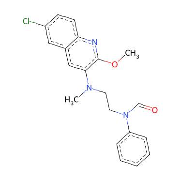 COc1nc2ccc(Cl)cc2cc1N(C)CCN(C=O)c1ccccc1